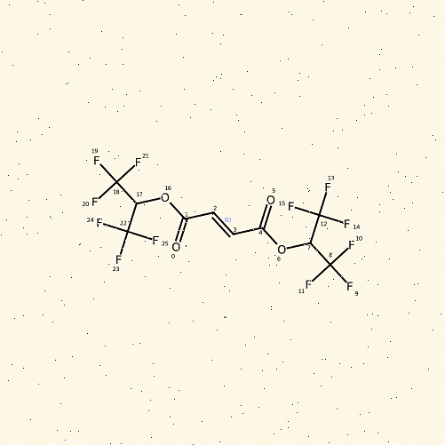 O=C(/C=C/C(=O)OC(C(F)(F)F)C(F)(F)F)OC(C(F)(F)F)C(F)(F)F